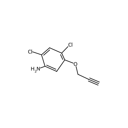 C#CCOc1cc(N)c(Cl)cc1Cl